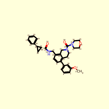 COc1cccc(-c2ccc(CNC(=O)[C@@H]3C[C@H]3c3ccccc3)c3c2CCN(C(=O)N2CCOCC2)C3)c1